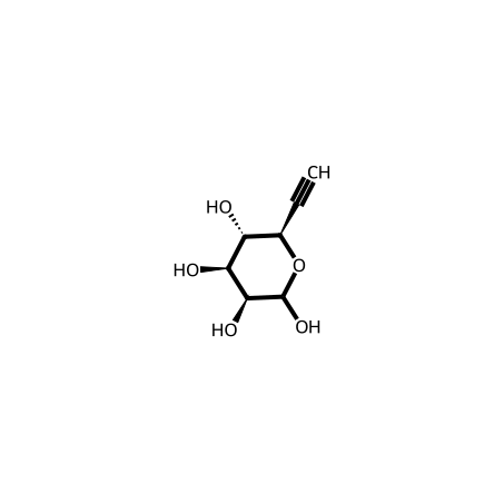 C#C[C@H]1OC(O)[C@@H](O)[C@@H](O)[C@@H]1O